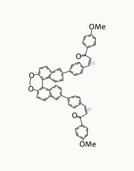 COc1ccc(C(=O)/C=C\c2ccc(-c3ccc4c5c(ccc4c3)OCOc3ccc4cc(-c6ccc(/C=C\C(=O)c7ccc(OC)cc7)cc6)ccc4c3-5)cc2)cc1